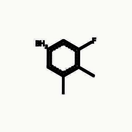 B.Cc1cccc(F)c1C